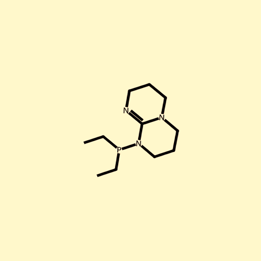 CCP(CC)N1CCCN2CCCN=C21